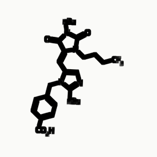 CCCCc1ncc(/C=C2/C(=O)N(CCCC)C(=O)N2CCCC(F)(F)F)n1Cc1ccc(C(=O)O)cc1